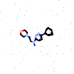 CN(CCN1CCOCC1)c1ccc(-c2ccccc2)nn1